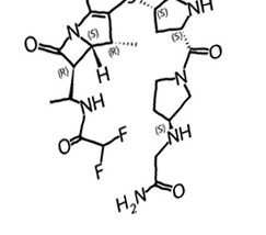 CC(NC(=O)C(F)F)[C@H]1C(=O)N2C(C(=O)O)=C(S[C@@H]3CN[C@H](C(=O)N4CC[C@H](NCC(N)=O)C4)C3)[C@H](C)[C@H]12